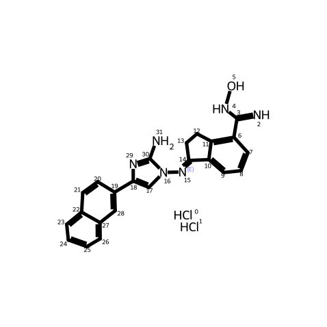 Cl.Cl.N=C(NO)c1cccc2c1CC/C2=N\n1cc(-c2ccc3ccccc3c2)nc1N